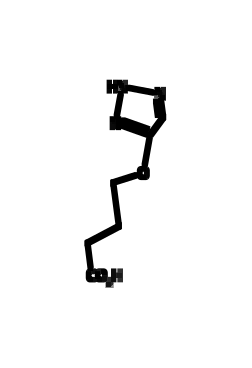 O=C(O)CCCOc1cn[nH]n1